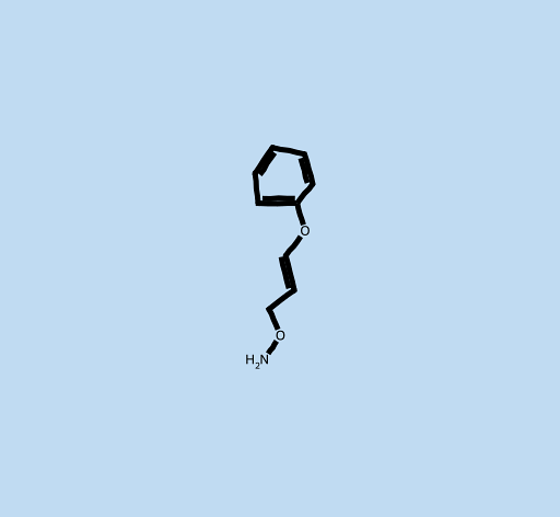 NOCC=COc1ccccc1